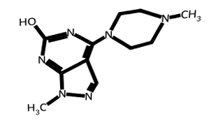 CN1CCN(c2nc(O)nc3c2cnn3C)CC1